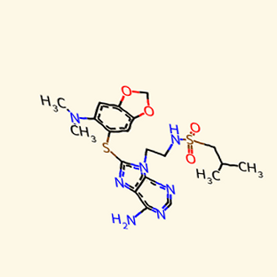 CC(C)CS(=O)(=O)NCCn1c(Sc2cc3c(cc2N(C)C)OCO3)nc2c(N)ncnc21